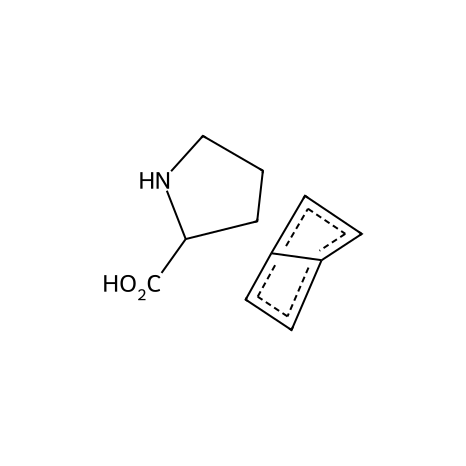 O=C(O)C1CCCN1.c1cc2ccc1-2